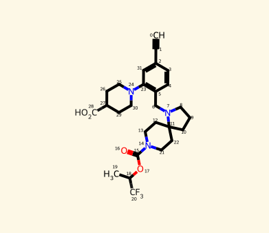 C#Cc1ccc(CN2CCCC23CCN(C(=O)OC(C)C(F)(F)F)CC3)c(N2CCC(C(=O)O)CC2)c1